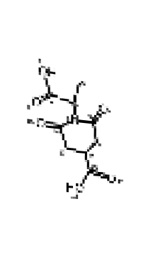 CC(C(=O)O)N1C(=O)CC(C(=O)O)CC1=O